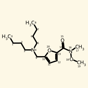 CCCCN(CCCC)Cc1ccc(C(=O)N(C)OC)o1